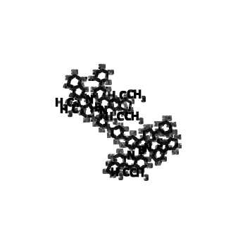 CC1(C)CCC(C)(C)c2cc3c(cc21)-c1cc(-c2ccccc2)cc2c1B(c1cccc4c1N2c1cc2ccccc2cc1C4(C)C)N3c1cccc(-c2ccc(-c3cc4c5c(c3)N3c6ccc7ccccc7c6C(C)(C)c6cccc(c63)B5N(c3cccc5c3sc3ccccc35)c3cc(-c5ccccc5)ccc3-4)cc2)c1